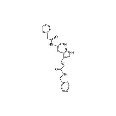 O=C(/C=C/c1c[nH]c2ncc(NC(=O)Cc3ccccc3)cc12)NCc1ccccc1